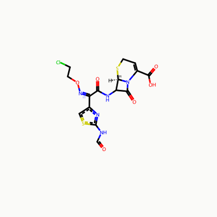 O=CNc1nc(/C(=N/OCCCl)C(=O)NC2C(=O)N3C(C(=O)O)=CCS[C@H]23)cs1